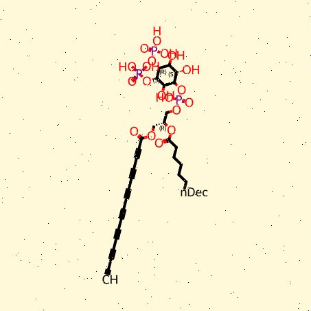 C#CC#CC#CC#CC#CC#CC#CC(=O)OC[C@H](COP(=O)(O)OC1C(O)[C@H](OP(=O)(O)O)[C@H](OP(=O)(O)O)C(O)[C@@H]1O)OC(=O)CCCCCCCCCCCCCCC